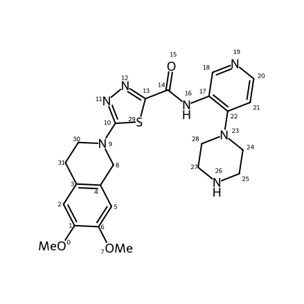 COc1cc2c(cc1OC)CN(c1nnc(C(=O)Nc3cnccc3N3CCNCC3)s1)CC2